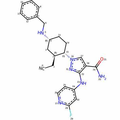 N#CC[C@H]1C[C@H](NCc2ccccc2)CC[C@@H]1n1cc(C(N)=O)c(Nc2ccnc(F)c2)n1